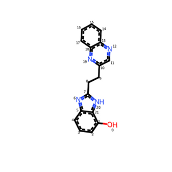 Oc1cccc2nc(CCc3cnc4ccccc4n3)[nH]c12